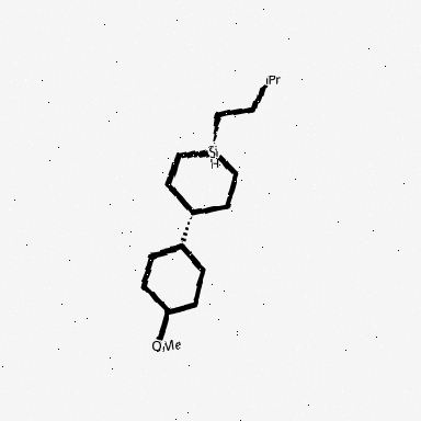 COC1CCC([C@H]2CC[Si@H](CCC(C)C)CC2)CC1